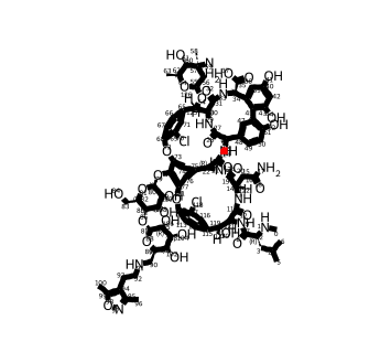 CN[C@H](CC(C)C)C(=O)N[C@H]1C(=O)N[C@@H](CC(N)=O)C(=O)N[C@H]2C(=O)N[C@H]3C(=O)N[C@H](C(=O)N[C@@H](C(=O)O)c4cc(O)cc(O)c4-c4cc3ccc4O)[C@H](OC3C[C@](C)(N)[C@@H](O)[C@H](C)O3)c3ccc(c(Cl)c3)Oc3cc2cc(c3O[C@@H]2O[C@H](CO)[C@@H](O[C@@H]3O[C@H](CNCCc4c(C)noc4C)[C@H](O)[C@H](O)[C@H]3O)[C@H](O)[C@H]2O)Oc2ccc(cc2Cl)[C@H]1O